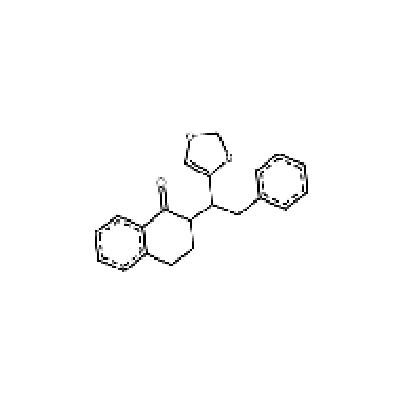 O=C1c2ccccc2CCC1C(Cc1ccccc1)C1=COCO1